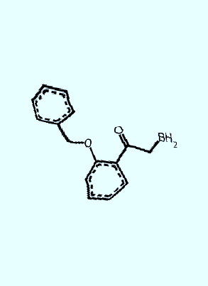 BCC(=O)c1ccccc1OCc1ccccc1